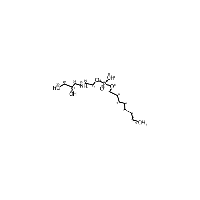 CCCCCCCCOP(=O)(O)OCCNCC(O)CO